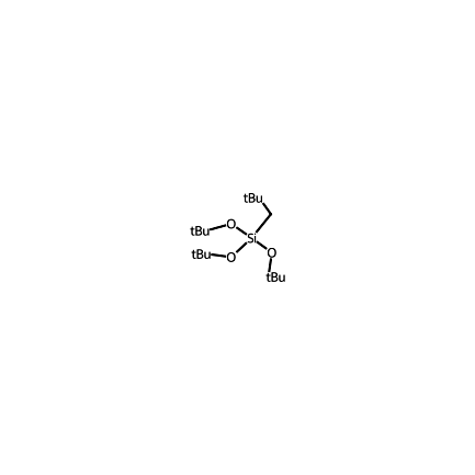 CC(C)(C)C[Si](OC(C)(C)C)(OC(C)(C)C)OC(C)(C)C